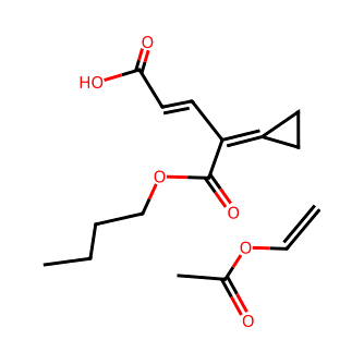 C=COC(C)=O.CCCCOC(=O)C(C=CC(=O)O)=C1CC1